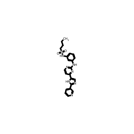 CCCCS(=O)(=O)Nc1cccc(Nc2nccc(-c3cnc(-c4cccnc4)[nH]3)n2)c1